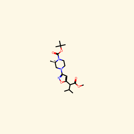 COC(=O)C(c1cc(N2CCN(C(=O)OC(C)(C)C)[C@H](C)C2)no1)C(C)C